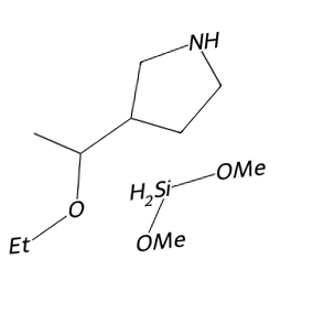 CCOC(C)C1CCNC1.CO[SiH2]OC